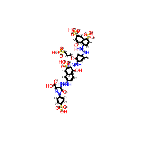 Cc1cc(NNc2c(S(=O)(=O)O)cc3cc(NNC4C(=O)N(c5ccc(S(=O)(=O)O)cc5)N=C4C(=O)O)ccc3c2O)c(OCCCS(=O)(=O)O)cc1NNc1ccc(S(=O)(=O)O)c2cc(S(=O)(=O)O)cc(O)c12